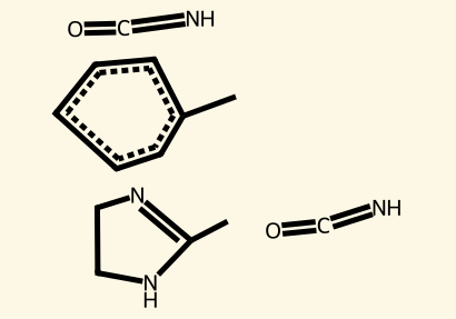 CC1=NCCN1.Cc1ccccc1.N=C=O.N=C=O